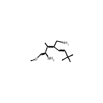 CO/C=C(N)/C(C)=C(\C=C\C(C)(C)C)CN